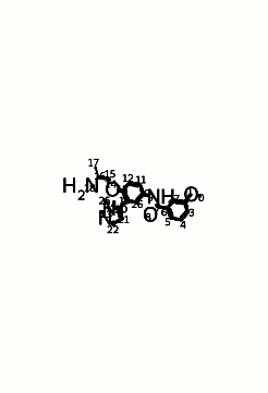 COc1cccc(C(=O)Nc2ccc(OC[C@H](C)N)c(-c3ccnn3C)c2)c1